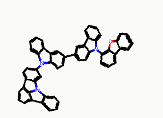 c1ccc2c(c1)oc1c(-n3c4ccccc4c4cc(-c5ccc6c(c5)c5ccccc5n6-c5ccc6c7cccc8c9ccccc9n(c6c5)c87)ccc43)cccc12